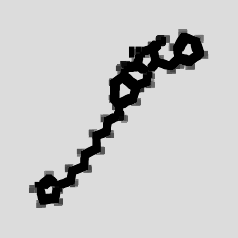 O=C1NC2=Nc3ccc(OCCCCCCCCn4ccnc4)cc3CN2C1Cc1ccccc1